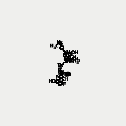 C#Cc1c(F)ccc2cc(O)cc(-c3ncc4c(N5CC6CCC(C5)N6)nc(OC[C@@H]5CCCN5CCCC(=O)N[C@@H](C(=O)N5C[C@@H](O)C[C@@H]5C(=O)NCc5ccc(-c6scnc6C)cc5)C(C)(C)C)nc4c3F)c12